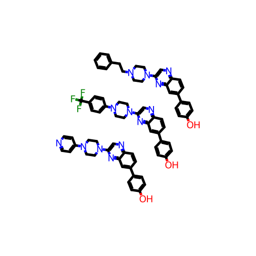 Oc1ccc(-c2ccc3ncc(N4CCN(CCc5ccccc5)CC4)nc3c2)cc1.Oc1ccc(-c2ccc3ncc(N4CCN(c5ccc(C(F)(F)F)cc5)CC4)nc3c2)cc1.Oc1ccc(-c2ccc3ncc(N4CCN(c5ccncc5)CC4)nc3c2)cc1